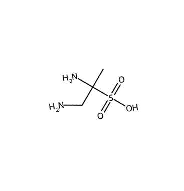 CC(N)(CN)S(=O)(=O)O